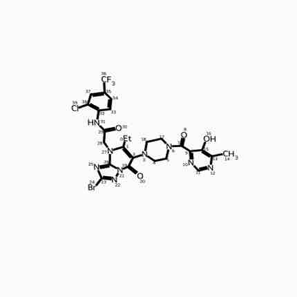 CCc1c(N2CCN(C(=O)c3ncnc(C)c3O)CC2)c(=O)n2nc(Br)nc2n1CC(=O)Nc1ccc(C(F)(F)F)cc1Cl